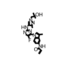 C=CC(=O)Nc1ccc2c(c1)c(C)cn2-c1nc(Nc2cn(CC(C)(C)O)nc2C)ncc1F